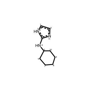 c1c[nH]c(NC2CCCCC2)n1